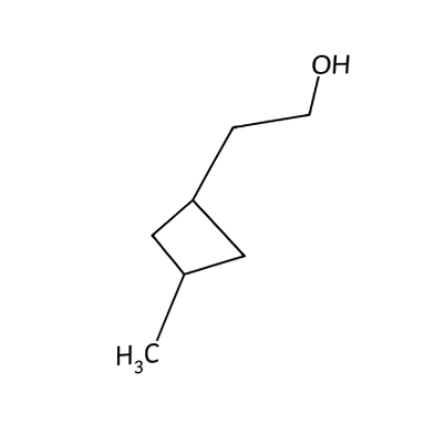 CC1CC(CCO)C1